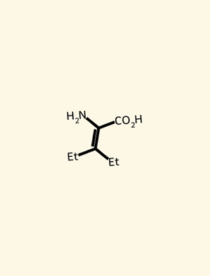 CCC(CC)=C(N)C(=O)O